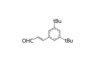 CC(C)(C)c1cc(/C=C/C=O)cc(C(C)(C)C)c1